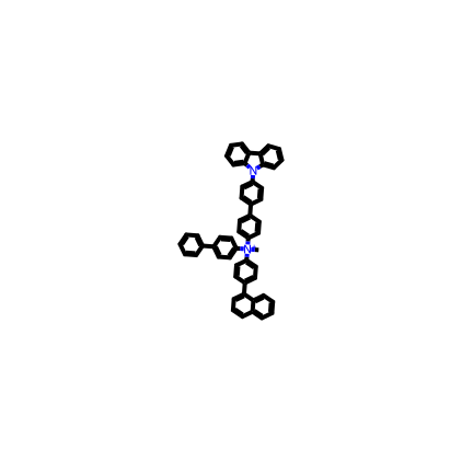 C[N+](c1ccc(-c2ccccc2)cc1)(c1ccc(-c2ccc(-n3c4ccccc4c4ccccc43)cc2)cc1)c1ccc(-c2cccc3ccccc23)cc1